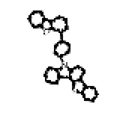 c1ccc2c(c1)oc1c(-c3ccc(-n4c5ccccc5c5c6sc7ccccc7c6ccc54)cc3)cccc12